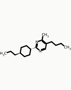 CCCCc1cnc([C@H]2CC[C@H](CCC)CC2)nc1C